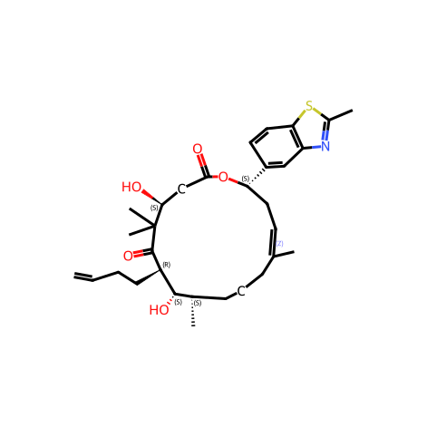 C=CCC[C@H]1C(=O)C(C)(C)[C@@H](O)CC(=O)O[C@H](c2ccc3sc(C)nc3c2)C/C=C(/C)CCC[C@H](C)[C@@H]1O